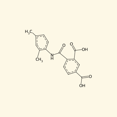 Cc1ccc(NC(=O)c2ccc(C(=O)O)cc2C(=O)O)c(C)c1